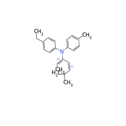 C=C(C)/C=C\C(=C/C)N(c1ccc(C)cc1)c1ccc(CC)cc1